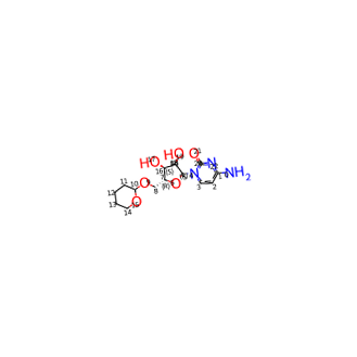 Nc1ccn([C@@H]2O[C@H](COC3CCCCO3)[C@@H](O)[C@H]2O)c(=O)n1